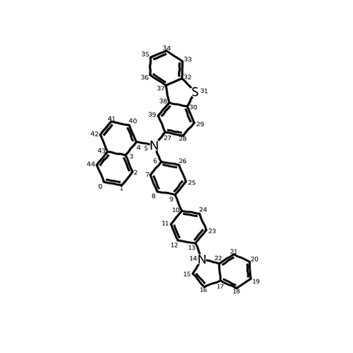 c1ccc2c(N(c3ccc(-c4ccc(-n5ccc6ccccc65)cc4)cc3)c3ccc4sc5ccccc5c4c3)cccc2c1